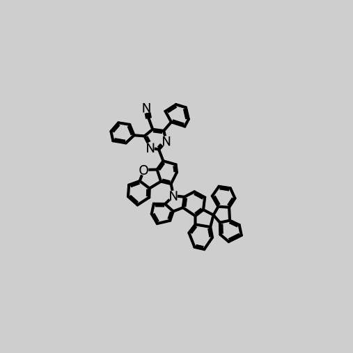 N#Cc1c(-c2ccccc2)nc(-c2ccc(-n3c4ccccc4c4c5c(ccc43)C3(c4ccccc4-c4ccccc43)c3ccccc3-5)c3c2oc2ccccc23)nc1-c1ccccc1